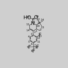 CC1C(c2ccc(C(F)(F)F)cc2F)=CCN(C(=O)O)C1C(C)(C)C